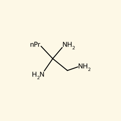 CCCC(N)(N)CN